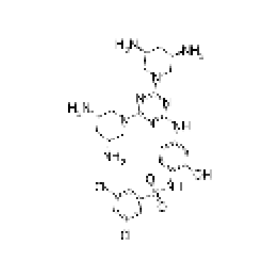 N[C@@H]1C[C@H](N)CN(c2nc(Nc3ccc(NS(=O)(=O)c4cc(Cl)cc(Cl)c4)c(O)c3)nc(N3C[C@H](N)C[C@H](N)C3)n2)C1